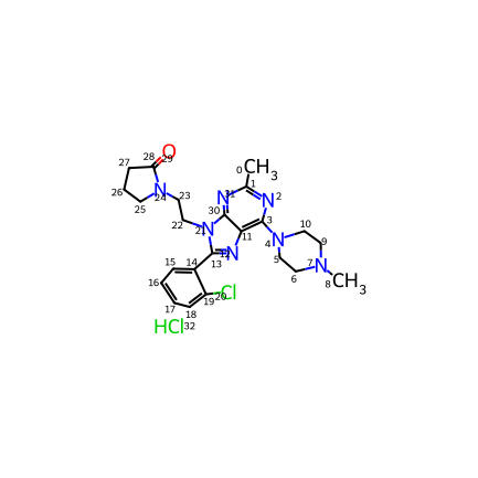 Cc1nc(N2CCN(C)CC2)c2nc(-c3ccccc3Cl)n(CCN3CCCC3=O)c2n1.Cl